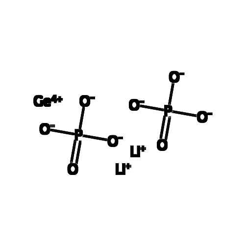 O=P([O-])([O-])[O-].O=P([O-])([O-])[O-].[Ge+4].[Li+].[Li+]